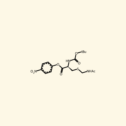 CC(=O)NCSC[C@H](NC(=O)OC(C)(C)C)C(=O)Oc1ccc([N+](=O)[O-])cc1